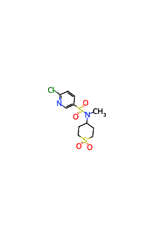 CN(C1CCS(=O)(=O)CC1)S(=O)(=O)c1ccc(Cl)nc1